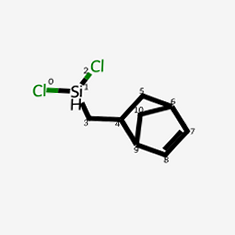 Cl[SiH](Cl)CC1CC2C=CC1C2